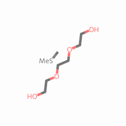 CSC.OCCOCCOCCO